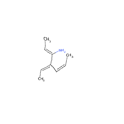 C\C=C/C(=C\C)C(/N)=C/C